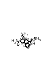 CCCN1C[C@@H](C(N)=O)CC2c3cccc4[nH]c(COC)c(c34)C[C@H]21